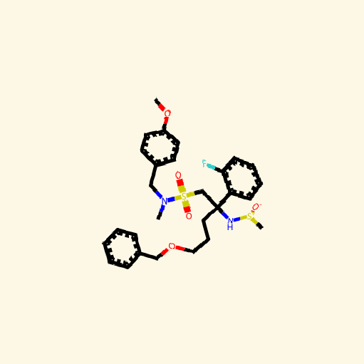 COc1ccc(CN(C)S(=O)(=O)CC(CCCOCc2ccccc2)(N[S+](C)[O-])c2ccccc2F)cc1